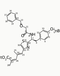 CCCCOc1ccc(C[C@H](NC(=O)COCc2ccccc2)c2nc(/C=C(C)/C=C(/C)C(=O)OCC)cs2)cc1